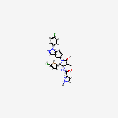 CC1C(=O)N(c2ccc3c(cnn3-c3ccc(F)cc3)c2)C(c2ccc(Cl)s2)C1NC(=O)c1ccn(C)n1